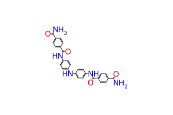 NC(=O)c1ccc(C(=O)Nc2ccc(Nc3ccc(NC(=O)c4ccc(C(N)=O)cc4)cc3)cc2)cc1